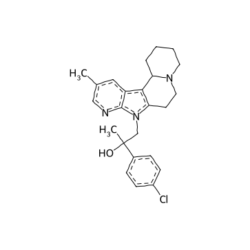 Cc1cnc2c(c1)c1c(n2CC(C)(O)c2ccc(Cl)cc2)CCN2CCCCC12